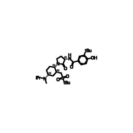 CC(C)N(C)[C@@H]1CC[C@H](N2CC[C@H](NC(=O)c3ccc(O)c(C(C)(C)C)c3)C2=O)[C@@H](CS(=O)(=O)C(C)(C)C)C1